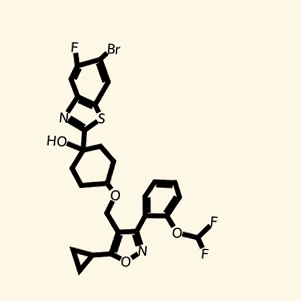 OC1(c2nc3cc(F)c(Br)cc3s2)CCC(OCc2c(-c3ccccc3OC(F)F)noc2C2CC2)CC1